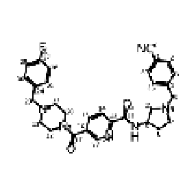 N#Cc1ccc(CN2CCC(NC(=O)c3ccc(C(=O)N4CCN(Cc5ccc(F)cc5)CC4)cn3)C2)cc1